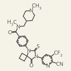 CN1CCC(CN(C)C(=O)c2ccc(N3C(=S)N(c4cnc(C#N)c(C(F)(F)F)c4)C(=O)C34CCC4)cc2)CC1